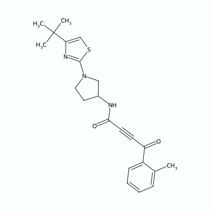 Cc1ccccc1C(=O)C#CC(=O)NC1CCN(c2nc(C(C)(C)C)cs2)C1